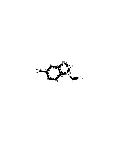 O=Cn1nnc2cc(Cl)ccc21